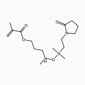 C=C(C)C(=O)OCCC[SiH](C)O[Si](C)(C)CCN1CCCC1=O